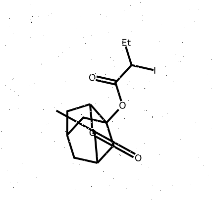 CCC(I)C(=O)OC12CC3CC(C1)C(=O)OC2C3